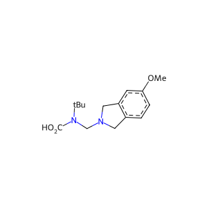 COc1ccc2c(c1)CN(CN(C(=O)O)C(C)(C)C)C2